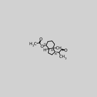 CC(=O)O[C@H]1CCC[C@]2(C)[C@@H](C(C)C=O)CC[C@@H]12